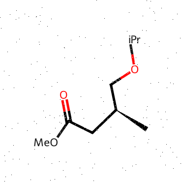 COC(=O)C[C@H](C)COC(C)C